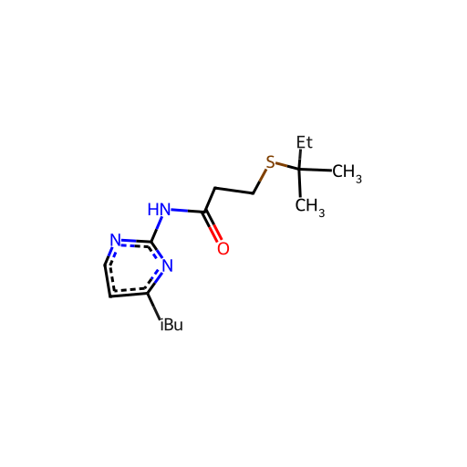 CCC(C)c1ccnc(NC(=O)CCSC(C)(C)CC)n1